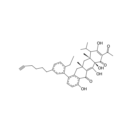 C#CCCCCc1ccc(CC)c(-c2ccc(O)c3c2C[C@]2(C)C[C@]4(C)C(C(C)C)C(O)=C(C(C)=O)C(=O)[C@]4(O)C(O)=C2C3=O)c1